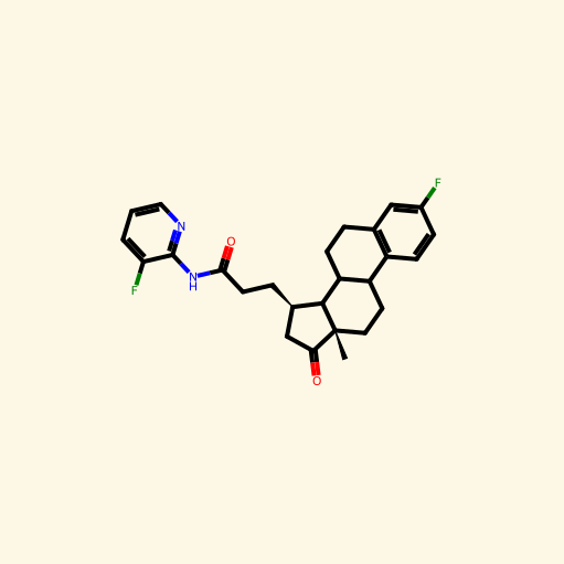 C[C@]12CCC3c4ccc(F)cc4CCC3C1[C@H](CCC(=O)Nc1ncccc1F)CC2=O